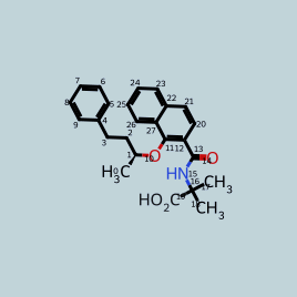 C[C@@H](CCc1ccccc1)Oc1c(C(=O)NC(C)(C)C(=O)O)ccc2ccccc12